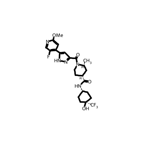 COc1cc(-c2cc(C(=O)N3CC[C@@H](C(=O)N[C@H]4CC[C@@](O)(C(F)(F)F)CC4)C[C@H]3C)n[nH]2)c(F)cn1